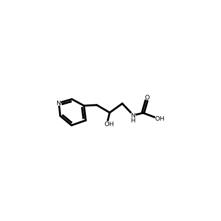 O=C(O)NCC(O)Cc1cccnc1